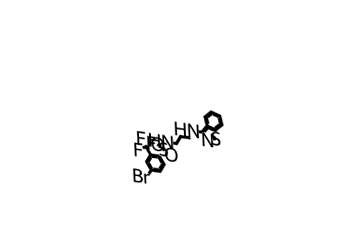 O=S(=O)(NCCCNc1nsc2ccccc12)c1ccc(Br)cc1C(F)(F)F